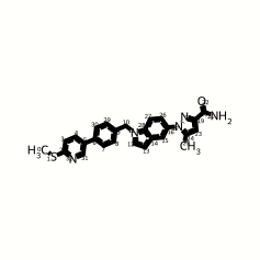 CSc1ccc(-c2ccc(Cn3ccc4cc(-n5nc(C(N)=O)cc5C)ccc43)cc2)cn1